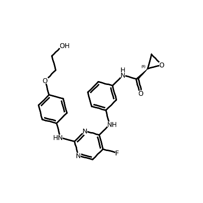 O=C(Nc1cccc(Nc2nc(Nc3ccc(OCCO)cc3)ncc2F)c1)[C@H]1CO1